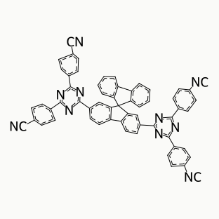 [C-]#[N+]c1ccc(-c2nc(-c3ccc([N+]#[C-])cc3)nc(-c3ccc4c(c3)C3(c5ccccc5-c5ccccc53)c3cc(-c5nc(-c6ccc(C#N)cc6)nc(-c6ccc(C#N)cc6)n5)ccc3-4)n2)cc1